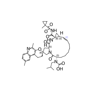 Cc1ccc2nc(C)c3c(c2c1)CC[C@]1(C[C@H]2C(=O)N[C@]4(C(=O)NS(=O)(=O)C5(C)CC5)C[C@H]4/C=C\CCCCC[C@H](N(CC(C)C)C(=O)O)C(=O)N2C1)O3